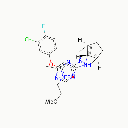 COCCn1nc(N[C@@H]2[C@@H]3CC[C@H]2CN(c2cc(C)ncn2)C3)nc1Oc1ccc(F)c(Cl)c1